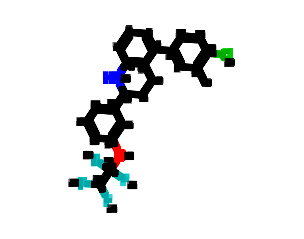 Cc1cc(-c2cccc3c2CCC(c2cccc(OC(F)(F)C(F)F)c2)N3)ccc1Cl